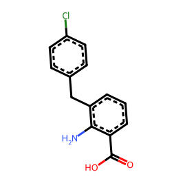 Nc1c(Cc2ccc(Cl)cc2)cccc1C(=O)O